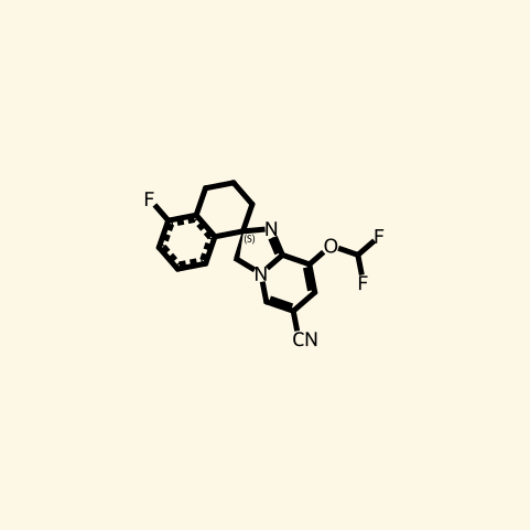 N#CC1=CN2C[C@@]3(CCCc4c(F)cccc43)N=C2C(OC(F)F)=C1